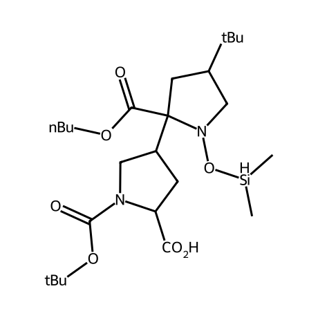 CCCCOC(=O)C1(C2CC(C(=O)O)N(C(=O)OC(C)(C)C)C2)CC(C(C)(C)C)CN1O[SiH](C)C